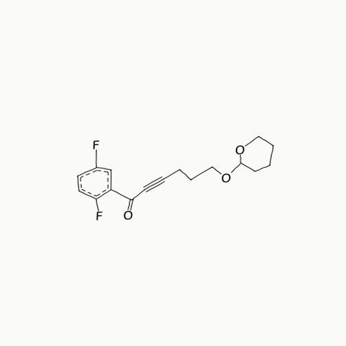 O=C(C#CCCCOC1CCCCO1)c1cc(F)ccc1F